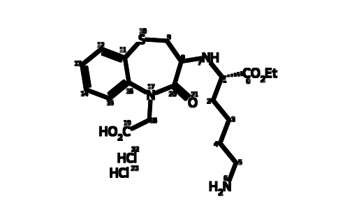 CCOC(=O)[C@H](CCCCN)NC1CSc2ccccc2N(CC(=O)O)C1=O.Cl.Cl